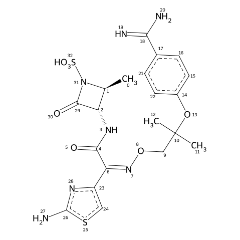 C[C@H]1[C@H](NC(=O)C(=NOCC(C)(C)Oc2ccc(C(=N)N)cc2)c2csc(N)n2)C(=O)N1S(=O)(=O)O